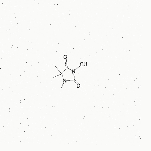 CN1C(=O)N(O)C(=O)C1(C)C